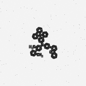 Cc1ccccc1-c1ccc(N(c2ccc(-c3cccc4c3oc3ccccc34)cc2)c2ccc(C3(c4ccccc4)c4ccccc4-c4ccccc43)cc2)cc1C